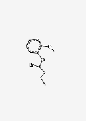 CCCC(Br)Oc1ccccc1OC